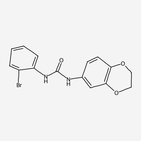 O=C(Nc1ccc2c(c1)OCCO2)Nc1ccccc1Br